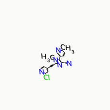 Cc1ccc(-c2c(C#N)nc(C#Cc3ccnc(Cl)c3)n2C)cn1